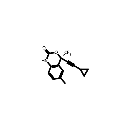 Cc1ccc2c(c1)[C@@](C#CC1CC1)(C(F)(F)F)OC(=O)N2